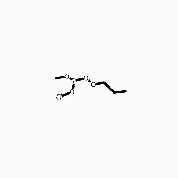 CCCOOP(OC)OCl